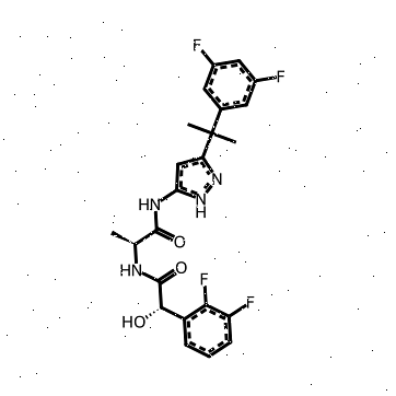 C[C@H](NC(=O)[C@@H](O)c1cccc(F)c1F)C(=O)Nc1cc(C(C)(C)c2cc(F)cc(F)c2)n[nH]1